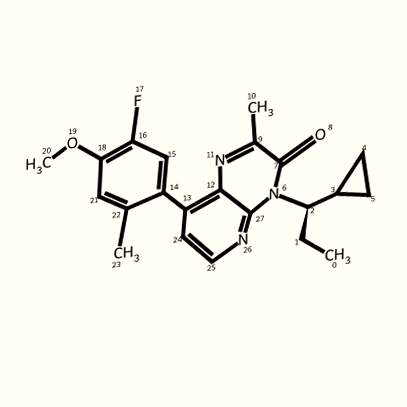 CC[C@H](C1CC1)n1c(=O)c(C)nc2c(-c3cc(F)c(OC)cc3C)ccnc21